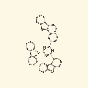 c1ccc2c(c1)oc1cccc(-c3nc(-c4ccc5ccc6c7ccccc7sc6c5c4)nc(-n4c5ccccc5c5ccccc54)n3)c12